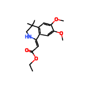 CCOC(=O)C=C1NCC(C)(C)c2cc(OC)c(OC)cc21